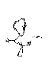 O=[PH](O)C(O)c1ccccc1.[GaH3]